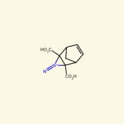 [N-]=[N+]1C2(C(=O)O)C3C=CC(C3)C12C(=O)O